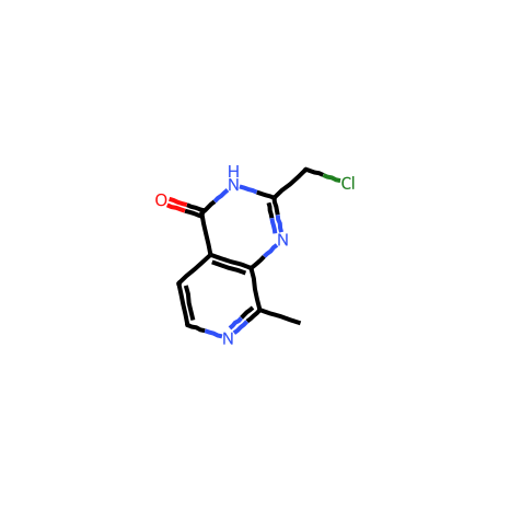 Cc1nccc2c(=O)[nH]c(CCl)nc12